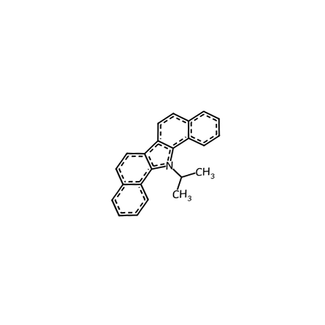 CC(C)n1c2c3ccccc3ccc2c2ccc3ccccc3c21